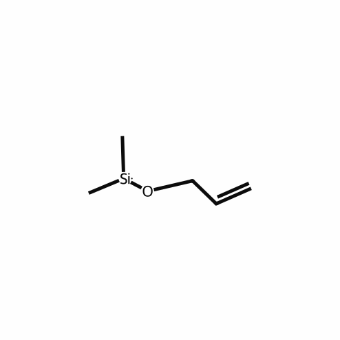 C=CCO[Si](C)C